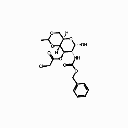 CC1OC[C@H]2O[C@H](O)[C@H](NC(=O)OCc3ccccc3)[C@@H](OC(=O)CCl)[C@@H]2O1